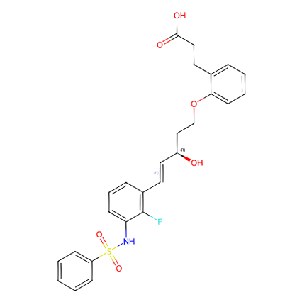 O=C(O)CCc1ccccc1OCC[C@@H](O)/C=C/c1cccc(NS(=O)(=O)c2ccccc2)c1F